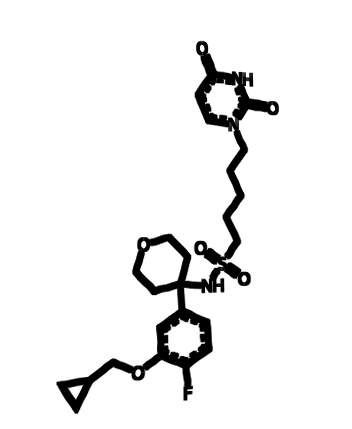 O=c1ccn(CCCCCS(=O)(=O)NC2(c3ccc(F)c(OCC4CC4)c3)CCOCC2)c(=O)[nH]1